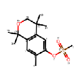 Cc1cc2c(cc1OS(C)(=O)=O)C(C)(C)COC2(C)C